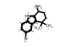 CC1(C)CCC(N)c2[nH]c3ccc(Br)cc3c21